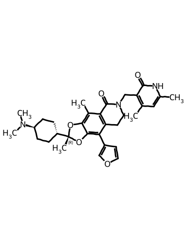 Cc1cc(C)c(CN2CCc3c(c(C)c4c(c3-c3ccoc3)O[C@](C)([C@H]3CC[C@H](N(C)C)CC3)O4)C2=O)c(=O)[nH]1